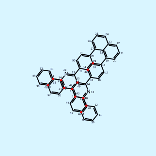 c1ccc(-c2cc(-c3ccccc3)nc(-c3ccc(-c4cccc5cccc(-c6ccc(-c7nc(-c8ccccc8)nc(-c8ccccc8)n7)cc6)c45)cc3)c2)cc1